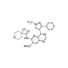 COc1cc2ncnc(-c3cn(C)nc3-c3ccccc3)c2nc1NC(=O)C1(C(F)(F)F)CCOCC1